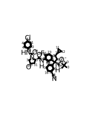 CC(C)(C)[S@@+]([O-])NC(CCC1CC1)(c1cccc(C#N)c1)c1ccc(F)c(NC(=O)[C@H]2CC(=O)CN2C(=O)Nc2ccc(Cl)cc2)c1